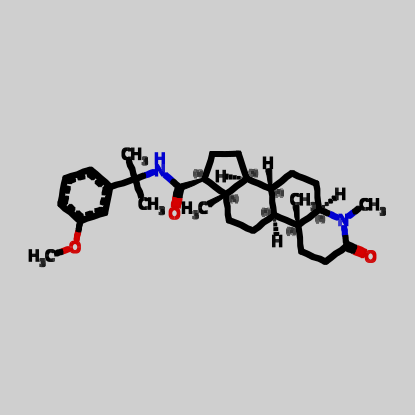 COc1cccc(C(C)(C)NC(=O)[C@H]2CC[C@H]3[C@@H]4CC[C@H]5N(C)C(=O)CC[C@]5(C)[C@H]4CC[C@]23C)c1